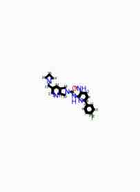 Nc1ccc(-c2ccc(F)cc2)nc1NC(=O)N1Cc2cc(CN3CCC3)cnc2C1